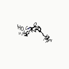 CC(C)c1csc(CCc2ccn3c(=O)c(/C=C/C(=O)O)c(N4C[C@@H](N)C5(CC5)C4)nc3c2)n1